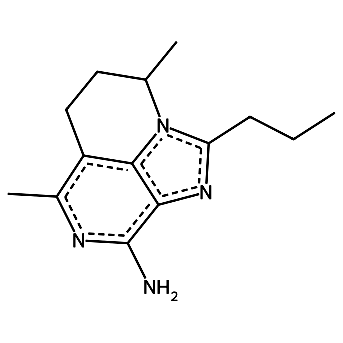 CCCc1nc2c(N)nc(C)c3c2n1C(C)CC3